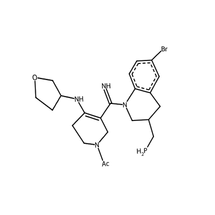 CC(=O)N1CCC(NC2CCOC2)=C(C(=N)N2CC(CP)Cc3cc(Br)ccc32)C1